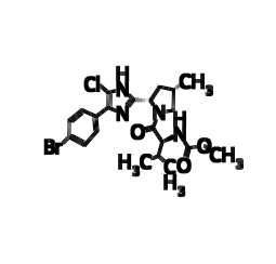 COC(=O)N[C@H](C(=O)N1C[C@@H](C)C[C@H]1c1nc(-c2ccc(Br)cc2)c(Cl)[nH]1)C(C)C